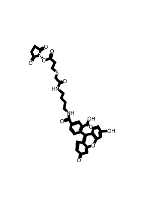 O=C(CSCCC(=O)ON1C(=O)CCC1=O)NCCCCNC(=O)c1ccc(-c2c3ccc(=O)cc-3oc3cc(O)ccc23)c(C(=O)O)c1